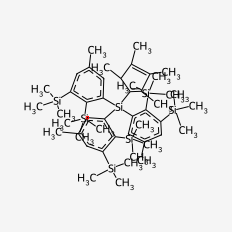 CC1=C(C)C(C)C([Si](c2cc(C)cc([Si](C)(C)C)c2[Si](C)(C)C)(c2cc(C)cc([Si](C)(C)C)c2[Si](C)(C)C)c2cc(C)cc([Si](C)(C)C)c2[Si](C)(C)C)=C1C